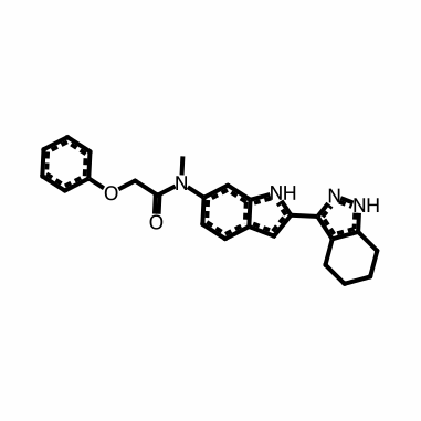 CN(C(=O)COc1ccccc1)c1ccc2cc(-c3n[nH]c4c3CCCC4)[nH]c2c1